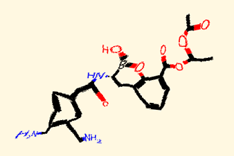 CC(=O)OC(C)OC(=O)c1cccc2c1OB(O)[C@@H](NC(=O)Cc1ccc(CN)c(CN)c1)C2